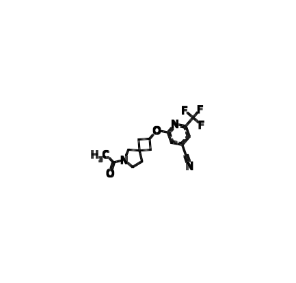 CC(=O)N1CCC2(CC(Oc3cc(C#N)cc(C(F)(F)F)n3)C2)C1